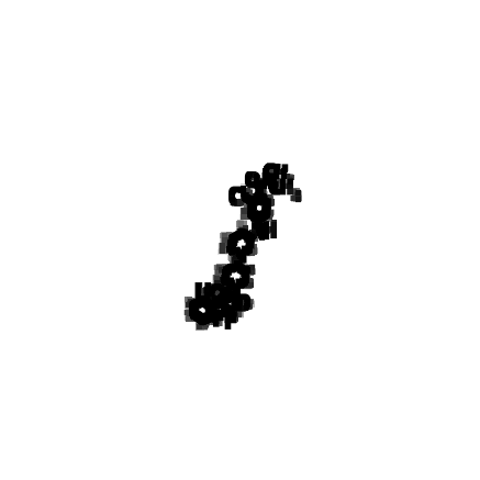 CN(C)C(=O)c1ccc(N[C@@H]2CCCN(C3CCN(C(=O)[C@](O)(c4ccccc4)C(F)(F)F)CC3)C2)cc1Cl